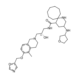 Cc1c(OCc2cnco2)ccc2c1CCN(C[C@@H](O)CNC(=O)C1CC(NC3CCOC3)CNC13CCCCCCC3)C2